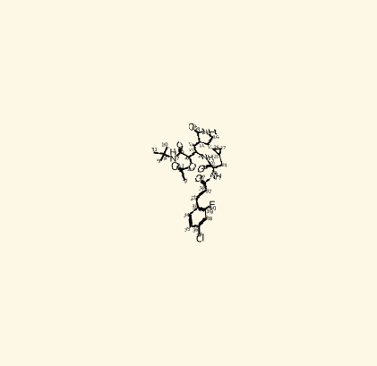 CC(=O)OC(C(=O)NC(C)(C)C)C(CC1CCNC1=O)NC(=O)C(CC1CC1)NC(=O)/C=C/c1ccc(Cl)cc1F